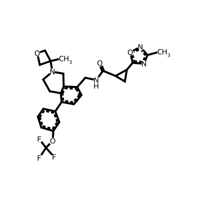 Cc1noc(C2CC2C(=O)NCc2ccc(-c3cccc(OC(F)(F)F)c3)c3c2CN(C2(C)COC2)CC3)n1